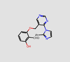 CC(C)c1nccn1-c1ncncc1COc1cccc(O)c1C=O